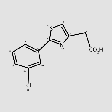 O=C(O)Cc1csc(-c2cccc(Cl)c2)n1